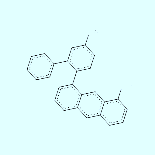 COc1ccc(-c2cccc3cc4cccc(C=O)c4cc23)c(-c2ccccc2)c1